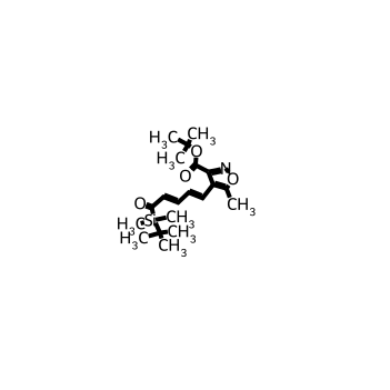 Cc1onc(C(=O)OC(C)(C)C)c1/C=C/C=C/C(=O)[Si](C)(C)C(C)(C)C